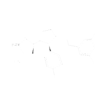 N[C@H]1C[C@H]([C@@H]2CC[C@H](OCc3cc(C(F)(F)F)cc(C(F)(F)F)c3)[C@H]2c2ccc(F)cc2)NC1=O